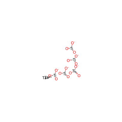 [O]=[Ti]([O-])[O-].[O]=[Ti]([O-])[O-].[O]=[Ti]([O-])[O-].[O]=[Ti]([O-])[O-].[O]=[Ti]([O-])[O-].[Ta+5].[Ta+5]